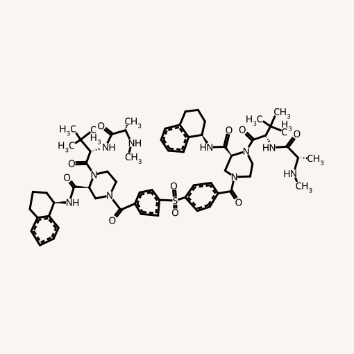 CN[C@@H](C)C(=O)N[C@H](C(=O)N1CCN(C(=O)c2ccc(S(=O)(=O)c3ccc(C(=O)N4CCN(C(=O)[C@@H](NC(=O)[C@H](C)NC)C(C)(C)C)[C@H](C(=O)N[C@@H]5CCCc6ccccc65)C4)cc3)cc2)C[C@H]1C(=O)N[C@@H]1CCCc2ccccc21)C(C)(C)C